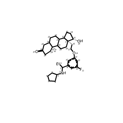 CCC(NC1CCCC1)c1cc(F)cc(OCC[C@]23CCC4C(CCC5CC(=O)CC[C@@]54C)C2CC[C@@H]3O)c1